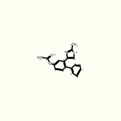 Cc1nc(-c2cc(OC(N)=O)ccc2-c2ccccc2)cs1